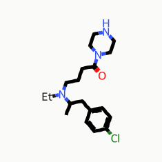 CCN(CCCC(=O)N1CCNCC1)C(C)Cc1ccc(Cl)cc1